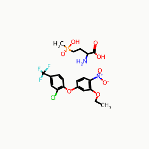 CCOc1cc(Oc2ccc(C(F)(F)F)cc2Cl)ccc1[N+](=O)[O-].CP(=O)(O)CCC(N)C(=O)O